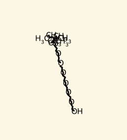 CC(C)(C)CC(C(=O)OCCCOCCCOCCCOCCCOCCCOCCCOCCCO)C(C)(C)C